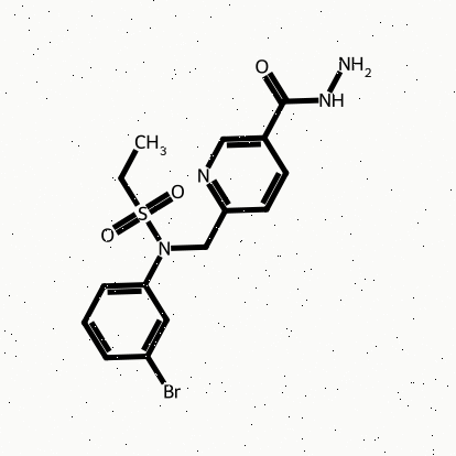 CCS(=O)(=O)N(Cc1ccc(C(=O)NN)cn1)c1cccc(Br)c1